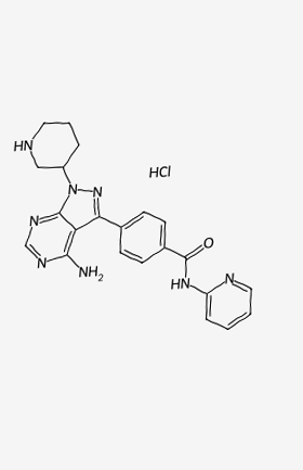 Cl.Nc1ncnc2c1c(-c1ccc(C(=O)Nc3ccccn3)cc1)nn2C1CCCNC1